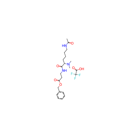 CC(=O)NCCCCC(C(=O)NCCC(=O)OCc1ccccc1)N(C)C.O=C(O)C(F)(F)F